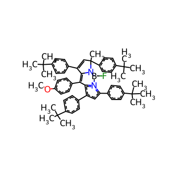 COc1ccc(C2=C3C(c4ccc(C(C)(C)C)cc4)=CC(C)(c4ccc(C(C)(C)C)cc4)N3B(F)n3c(-c4ccc(C(C)(C)C)cc4)cc(-c4ccc(C(C)(C)C)cc4)c32)cc1